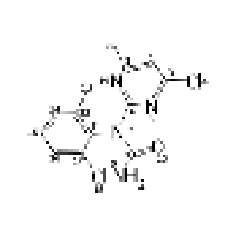 Cc1cc(Cl)nc(N(C(N)=O)c2c(C)cccc2Cl)n1